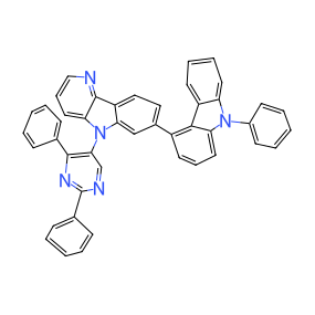 c1ccc(-c2ncc(-n3c4cc(-c5cccc6c5c5ccccc5n6-c5ccccc5)ccc4c4ncccc43)c(-c3ccccc3)n2)cc1